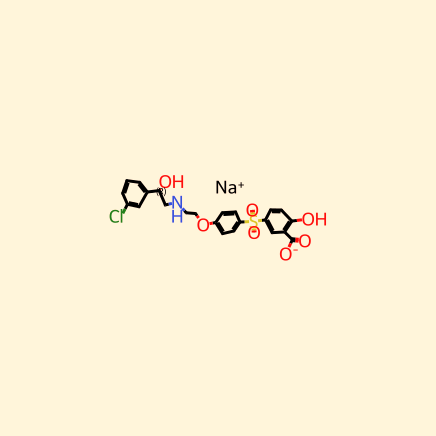 O=C([O-])c1cc(S(=O)(=O)c2ccc(OCCNC[C@H](O)c3cccc(Cl)c3)cc2)ccc1O.[Na+]